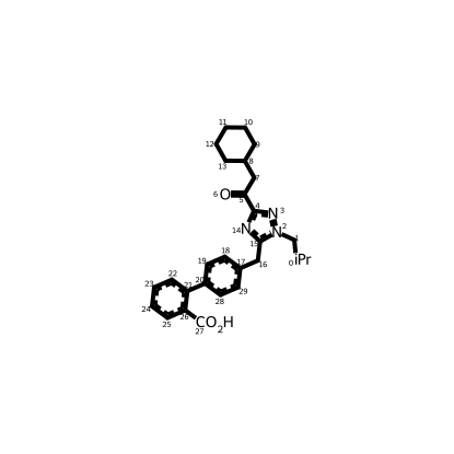 CC(C)Cn1nc(C(=O)CC2CCCCC2)nc1Cc1ccc(-c2ccccc2C(=O)O)cc1